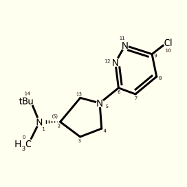 CN([C@H]1CCN(c2ccc(Cl)nn2)C1)C(C)(C)C